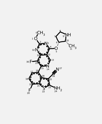 COc1nc(O[C@@H]2CCN[C@@H]2C)c2cnc(-c3ccc(F)c4sc(N)c(C#N)c34)c(F)c2n1